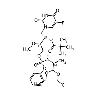 CCOC(OCC)[C@H](C)NP(=O)(OC[C@@H](OC)[C@H](Cn1cc(F)c(=O)[nH]c1=O)OC(=O)C(C)(C)C)Oc1ccccc1